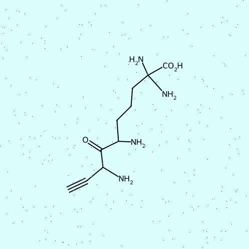 C#CC(N)C(=O)C(N)CCCC(N)(N)C(=O)O